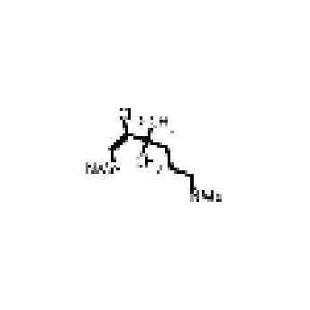 CN/C=C(/C)C(C)(C)CCCNC